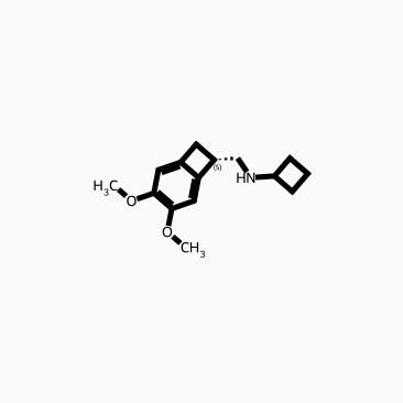 COc1cc2c(cc1OC)[C@@H](CNC1CCC1)C2